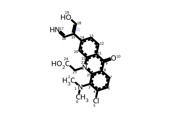 CN(C)c1c(Cl)ccc2c(=O)c3ccc(/C(C=N)=C/O)cc3n(CC(=O)O)c12